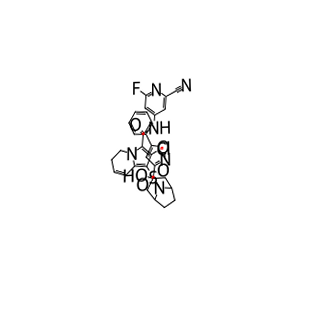 N#Cc1cc(NC(=O)c2c(Cl)c(S(=O)(=O)N3C4CCC3CC(O)(c3cc(-c5ccccc5)on3)C4)c3n2CCC=C3)cc(F)n1